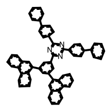 c1ccc(-c2ccc(-c3nc(-c4ccc(-c5ccccc5)cc4)nc(-c4cc(-c5cc6ccccc6c6ccccc56)cc(-c5cc6ccccc6c6ccccc56)c4)n3)cc2)cc1